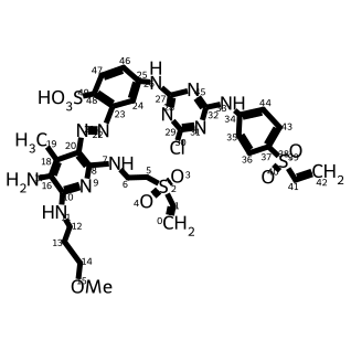 C=CS(=O)(=O)CCNc1nc(NCCCOC)c(N)c(C)c1/N=N/c1cc(Nc2nc(Cl)nc(Nc3ccc(S(=O)(=O)C=C)cc3)n2)ccc1S(=O)(=O)O